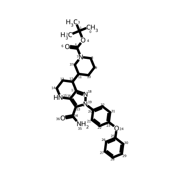 CC(C)(C)OC(=O)N1CCCC(C2CCNc3c2nn(-c2ccc(Oc4ccccc4)cc2)c3C(N)=O)C1